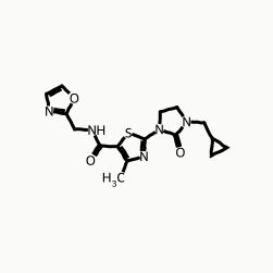 Cc1nc(N2CCN(CC3CC3)C2=O)sc1C(=O)NCc1ncco1